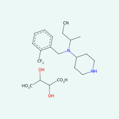 CC(CC#N)N(Cc1ccccc1C(F)(F)F)C1CCNCC1.O=C(O)C(O)C(O)C(=O)O